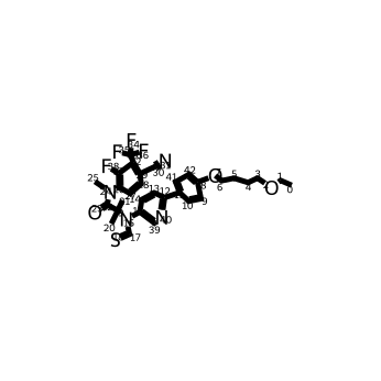 CCOCCCCOc1ccc(-c2ccc(N(C=S)C(C)(C)C(=O)N(C)c3ccc(C#N)c(C(F)(F)F)c3F)cn2)cc1